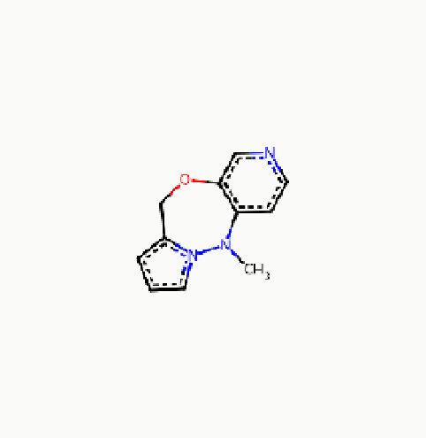 CN1c2ccncc2OCc2cccn21